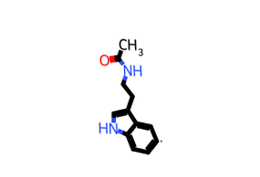 CC(=O)NCCc1c[nH]c2cc[c]cc12